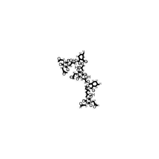 CCC(C)(CC(O)Cn1c(=O)n(CC2CO2)c(=O)n(CC2CO2)c1=O)OC(=O)C1CC(C)CCC1C(=O)OCC(O)Cn1c(=O)n(CC(O)COC(=O)C2CC(C)CCC2C(=O)OCC(O)Cn2c(=O)n(CC3CO3)c(=O)n(CC3CO3)c2=O)c(=O)n(CC2CO2)c1=O